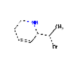 CCC(C)C1C=CCCN1